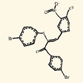 O=C(C(=Cc1ccc(Cl)c([N+](=O)[O-])c1)Sc1ccc(Br)cc1)c1ccc(Br)cc1